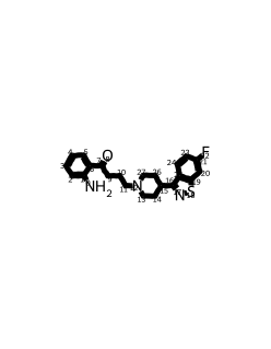 Nc1ccccc1C(=O)CCCN1CCC(c2nsc3cc(F)ccc23)CC1